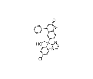 Cn1c(=O)cc(-c2ccccc2)c2cc(C(CO)(c3ccc(Cl)cc3)c3ncc[nH]3)ccc21